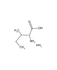 CCC(C)C(N)C(=O)O.[InH3]